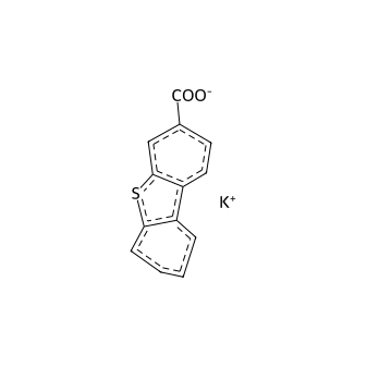 O=C([O-])c1ccc2c(c1)sc1ccccc12.[K+]